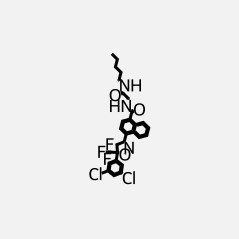 CCCCCNC(=O)CNC(=O)c1ccc(C2=NOC(c3cc(Cl)cc(Cl)c3)(C(F)(F)F)C2)c2ccccc12